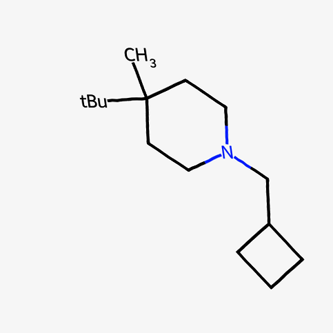 CC(C)(C)C1(C)CCN(CC2CCC2)CC1